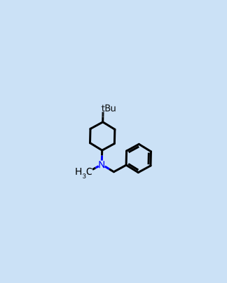 CN(Cc1ccccc1)C1CCC(C(C)(C)C)CC1